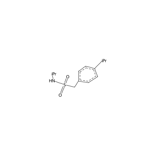 CC(C)NS(=O)(=O)Cc1ccc(C(C)C)cc1